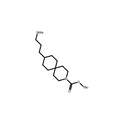 CNCCCC1CCC2(CC1)CCN(C(=O)OC(C)(C)C)CC2